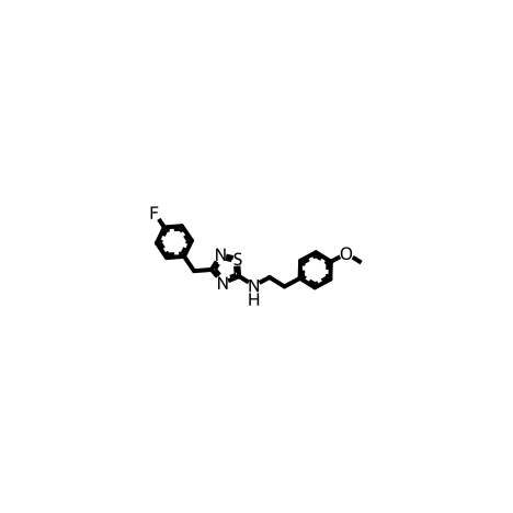 COc1ccc(CCNc2nc(Cc3ccc(F)cc3)ns2)cc1